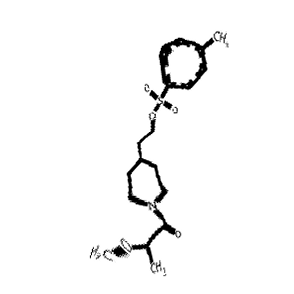 COC(C)C(=O)N1CCC(CCOS(=O)(=O)c2ccc(C)cc2)CC1